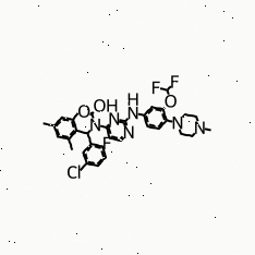 Cc1cc(C)c(C(c2cc(Cl)ccc2F)N(C(=O)O)c2ccnc(Nc3ccc(N4CCN(C)CC4)c(OC(F)F)c3)n2)c(C)c1